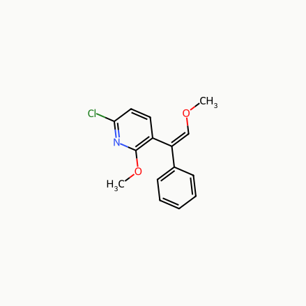 CO/C=C(/c1ccccc1)c1ccc(Cl)nc1OC